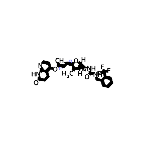 C=C1/C(=C\C=C(/C)Oc2ccnc3c2CCC(=O)N3)O[C@@H]2[C@@H](NC(=O)NCc3ccccc3C(F)(F)F)[C@H]12